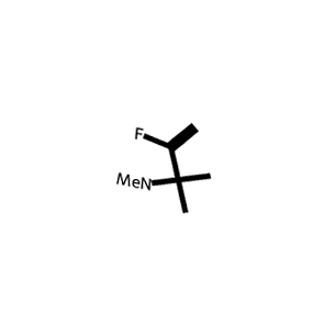 C=C(F)C(C)(C)NC